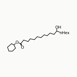 CCCCCCC(O)CCCCCCCCCCC(=O)OC1CCCCC1